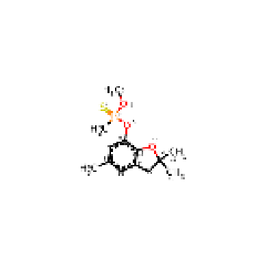 COP(C)(=S)Oc1cc(C)cc2c1OC(C)(C)C2